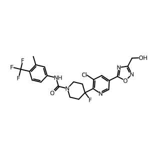 Cc1cc(NC(=O)N2CCC(F)(c3ncc(-c4nc(CO)no4)cc3Cl)CC2)ccc1C(F)(F)F